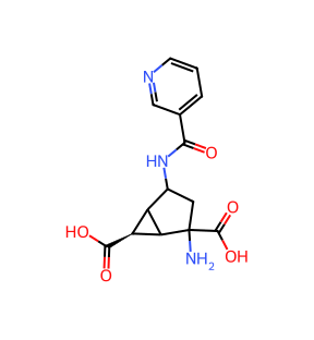 NC1(C(=O)O)CC(NC(=O)c2cccnc2)C2C1[C@H]2C(=O)O